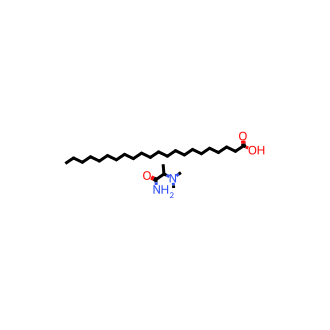 CC(C(N)=O)N(C)C.CCCCCCCCCCCCCCCCCCCCCC(=O)O